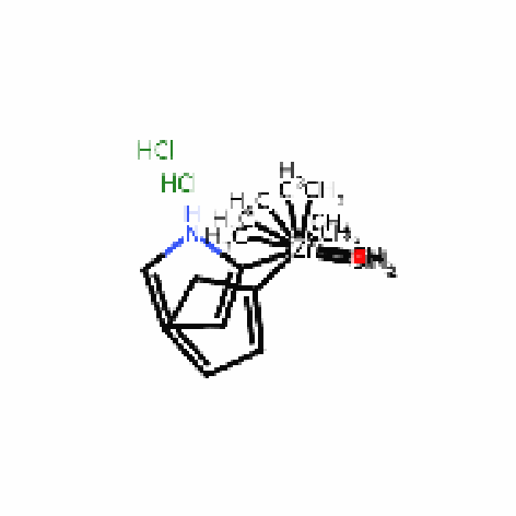 Cl.Cl.[CH3][Zr]([CH3])([CH3])([CH3])([CH3])([CH3])([CH3])([CH3])(=[SiH2])([C]1=CC=CC1)[c]1ccc[nH]1